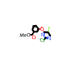 COC(=O)c1cccc(Oc2nc(Cl)ncc2F)c1